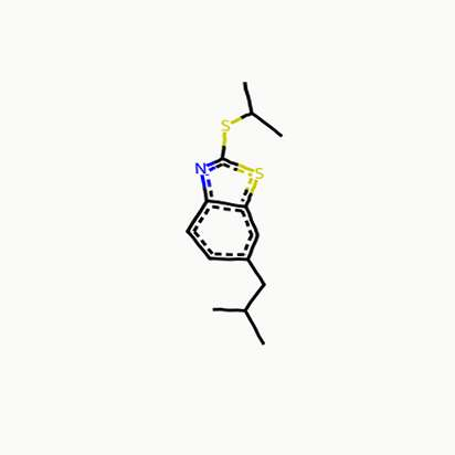 CC(C)Cc1ccc2nc(SC(C)C)sc2c1